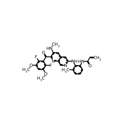 C=CC(=O)Nc1cccc(C)c1Nc1cc2cc(NC)c(C(=O)c3c(F)c(OC)cc(OC)c3F)nc2cn1